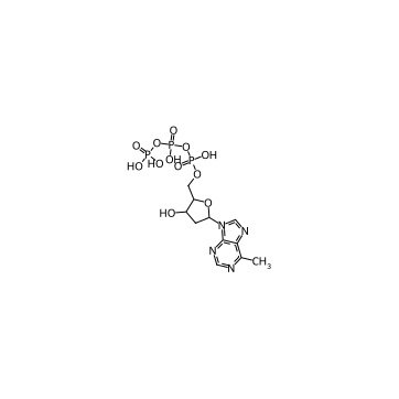 Cc1ncnc2c1ncn2C1CC(O)C(COP(=O)(O)OP(=O)(O)OP(=O)(O)O)O1